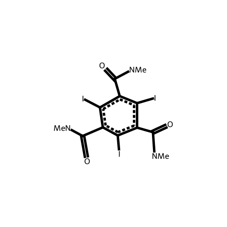 CNC(=O)c1c(I)c(C(=O)NC)c(I)c(C(=O)NC)c1I